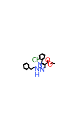 CCOC(=O)c1cnc(NCCc2ccccc2)nc1-c1ccccc1Cl